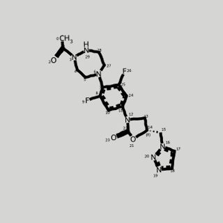 CC(=O)N1CCN(c2c(F)cc(N3C[C@H](Cn4ccnn4)OC3=O)cc2F)CCN1